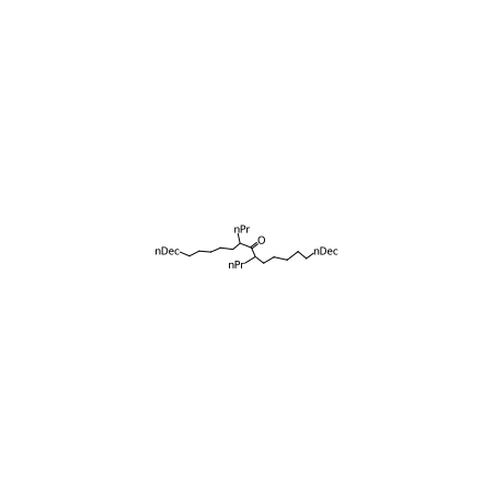 CCCCCCCCCCCCCCCC(CCC)C(=O)C(CCC)CCCCCCCCCCCCCCC